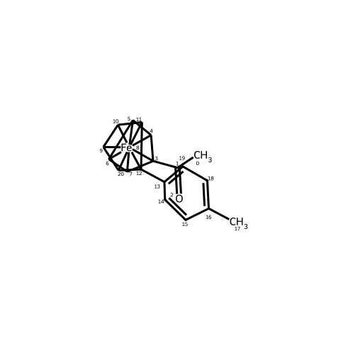 CC(=O)[C]12[CH]3[CH]4[CH]5[CH]1[Fe]45321678[CH]2[CH]1[CH]6[C]7(c1ccc(C)cc1)[CH]28